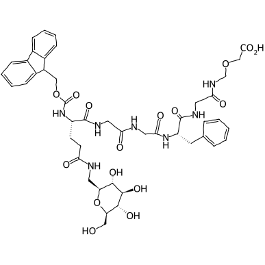 O=C(O)COCNC(=O)CNC(=O)[C@H](Cc1ccccc1)NC(=O)CNC(=O)CNC(=O)[C@H](CCC(=O)NC[C@@H]1O[C@H](CO)[C@@H](O)[C@H](O)[C@H]1O)NC(=O)OCC1c2ccccc2-c2ccccc21